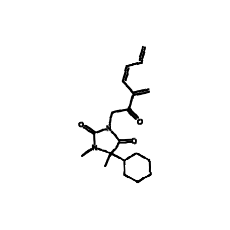 C=C/C=C\C(=C)C(=O)CN1C(=O)N(C)C(C)(C2CCCCC2)C1=O